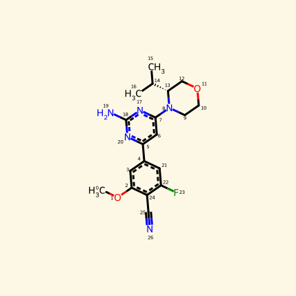 COc1cc(-c2cc(N3CCOC[C@H]3C(C)C)nc(N)n2)cc(F)c1C#N